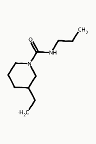 [CH2]CC1CCCN(C(=O)NCCC)C1